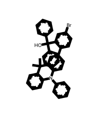 CC1(C)c2ccccc2N(c2ccccc2)c2ccc(-c3ccc(Br)cc3C(O)(c3ccccc3)c3ccccc3)cc21